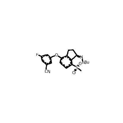 CCCC/N=C1/CCc2c(Oc3cc(F)cc(C#N)c3)ccc(S(C)(=O)=O)c21